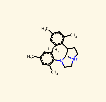 Cc1cc(C)c(C2CC[NH+]3CCN(c4c(C)cc(C)cc4C)[C-]23)c(C)c1